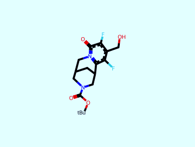 CC(C)(C)OC(=O)N1CC2CC(C1)c1c(F)c(CO)c(F)c(=O)n1C2